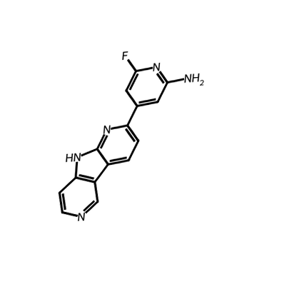 Nc1cc(-c2ccc3c(n2)[nH]c2ccncc23)cc(F)n1